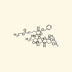 CCOC(=O)/C=C/CCC(NC(=O)OCc1ccccc1)C(=O)NC(C(=O)N1CCCC1C(=O)NC(CC(C)C)C(=O)OC)C(C)C